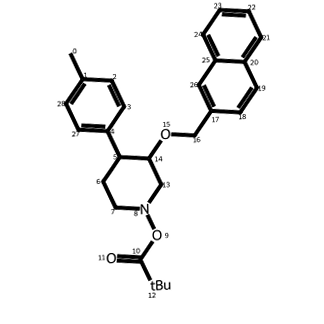 Cc1ccc(C2CCN(OC(=O)C(C)(C)C)CC2OCc2ccc3ccccc3c2)cc1